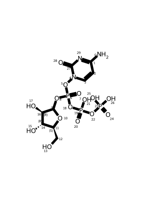 Nc1ccn(OP(=O)(OC2O[C@@H](CO)[C@H](O)[C@H]2O)OP(=O)(O)OP(=O)(O)O)c(=O)n1